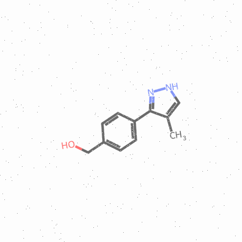 Cc1c[nH]nc1-c1ccc(CO)cc1